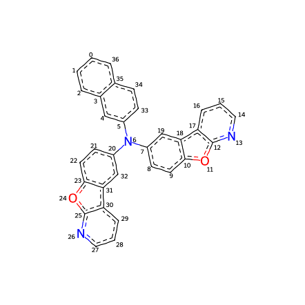 c1ccc2cc(N(c3ccc4oc5ncccc5c4c3)c3ccc4oc5ncccc5c4c3)ccc2c1